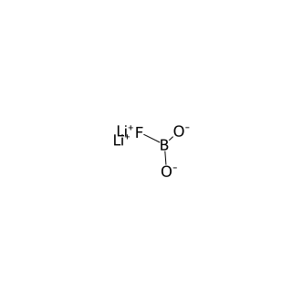 [Li+].[Li+].[O-]B([O-])F